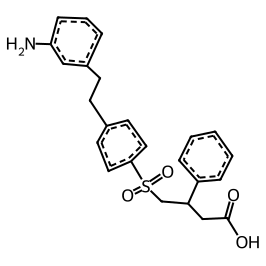 Nc1cccc(CCc2ccc(S(=O)(=O)CC(CC(=O)O)c3ccccc3)cc2)c1